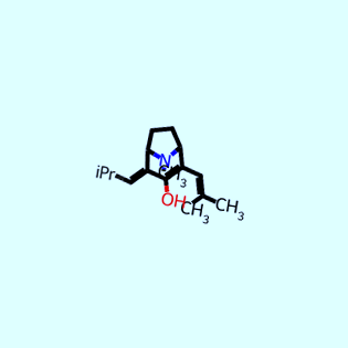 CC(C)=CC1=C(O)/C(=C/C(C)C)C2CCC1N2C